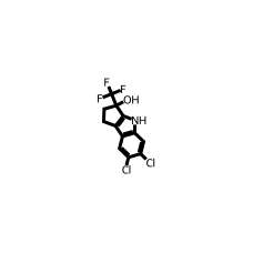 OC1(C(F)(F)F)CCc2c1[nH]c1cc(Cl)c(Cl)cc21